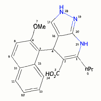 CCCC1=C(C(=O)O)C(c2c(OC)ccc3ccccc23)c2c[nH]nc2N1